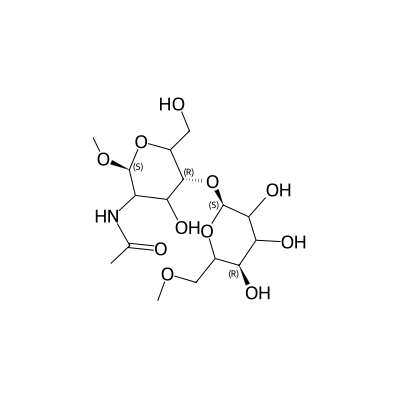 COCC1O[C@@H](O[C@H]2C(CO)O[C@H](OC)C(NC(C)=O)C2O)C(O)C(O)[C@H]1O